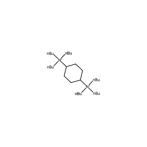 CCCC[N+](CCCC)(CCCC)C1CCC([N+](CCCC)(CCCC)CCCC)CC1